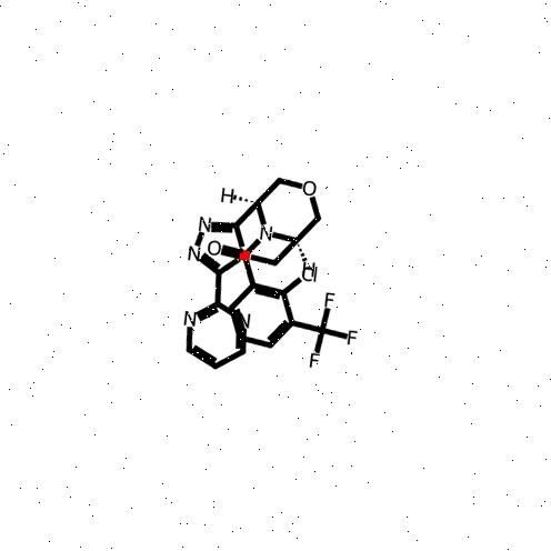 O=C(c1cccc(C(F)(F)F)c1Cl)N1[C@H]2COC[C@@H]1c1nnc(-c3ncccn3)n1C2